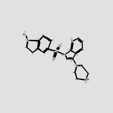 CC(=O)N1CCc2cc(S(=O)(=O)n3cc(N4CCNCC4)c4cccnc43)ccc21